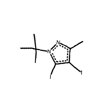 Cc1nn(C(C)(C)C)c(I)c1I